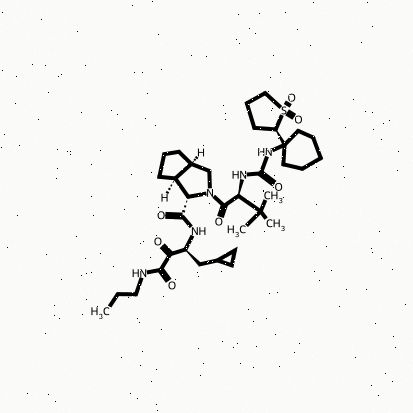 CCCNC(=O)C(=O)[C@H](CC1CC1)NC(=O)[C@@H]1[C@H]2CCC[C@H]2CN1C(=O)[C@@H](NC(=O)NC1([C@H]2CCCS2(=O)=O)CCCCC1)C(C)(C)C